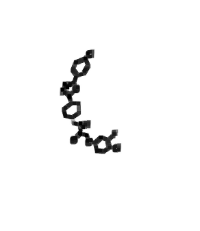 O=C(COc1ccc(Cl)c(F)c1)NC[C@H]1CC[C@H](c2nnc(-c3ccc(Cl)cc3)o2)CC1